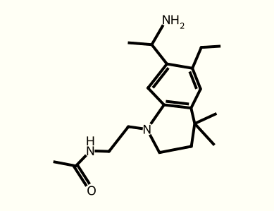 CCc1cc2c(cc1C(C)N)N(CCNC(C)=O)CCC2(C)C